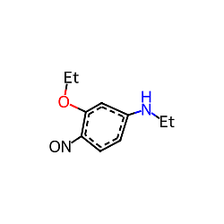 CCNc1ccc(N=O)c(OCC)c1